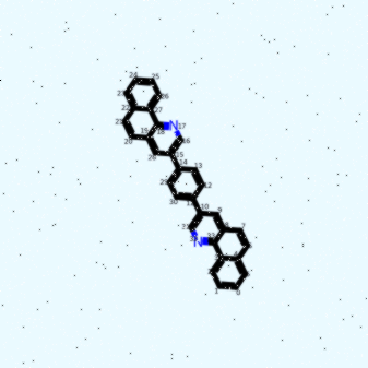 c1ccc2c(c1)ccc1cc(-c3ccc(-c4cnc5c(ccc6ccccc65)c4)cc3)cnc12